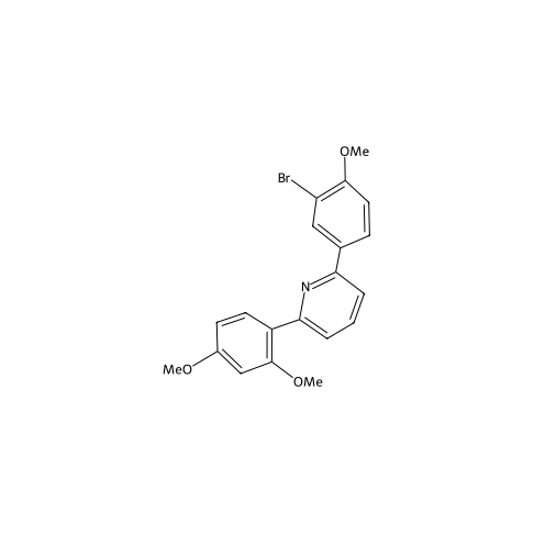 COc1ccc(-c2cccc(-c3ccc(OC)c(Br)c3)n2)c(OC)c1